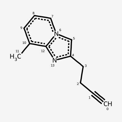 C#CCCc1cn2cccc(C)c2n1